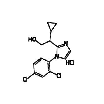 Cl.OCC(c1nccn1-c1ccc(Cl)cc1Cl)C1CC1